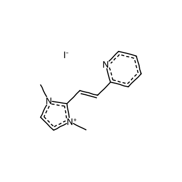 Cn1cc[n+](C)c1C=Cc1ccccn1.[I-]